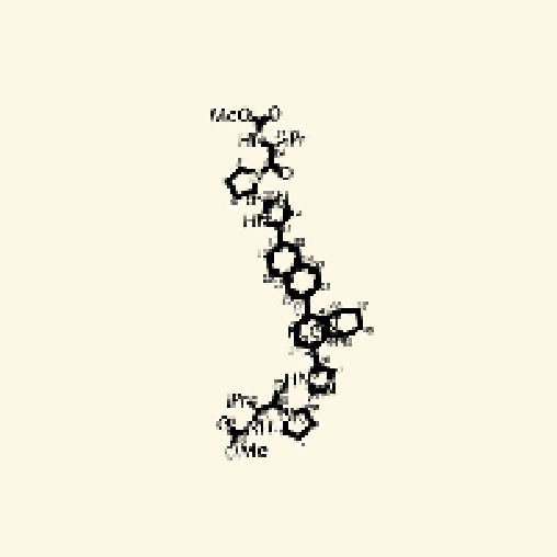 COC(=O)N[C@H](C(=O)N1CCC[C@H]1c1ncc(-c2ccc3cc(-c4ccc(-c5cnc([C@@H]6CCCN6C(=O)[C@@H](NC(=O)OC)C(C)C)[nH]5)c5c4C4CCC5N4C)ccc3c2)[nH]1)C(C)C